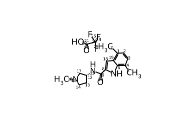 Cc1ccc(C)c2[nH]c(C(=O)N[C@@H]3CCN(C)C3)cc12.O=C(O)C(F)(F)F